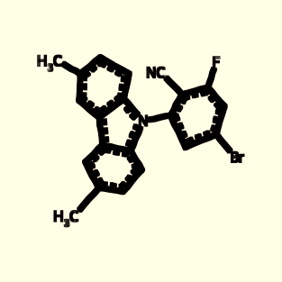 Cc1ccc2c(c1)c1cc(C)ccc1n2-c1cc(Br)cc(F)c1C#N